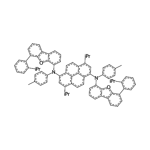 Cc1ccc(N(c2cc(C(C)C)c3ccc4c(N(c5ccc(C)cc5)c5cccc6c5oc5c(-c7ccccc7C(C)C)cccc56)cc(C(C)C)c5ccc2c3c54)c2cccc3c2oc2c(-c4ccccc4C(C)C)cccc23)cc1